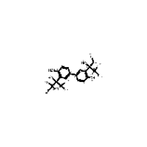 Oc1ccc(-c2ccc(O)c(C(O)(C(F)(F)F)C(F)(F)F)c2)cc1C(O)(CF)C(F)(F)F